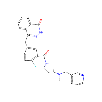 CN(Cc1cccnc1)C1CCN(C(=O)c2cc(Cc3n[nH]c(=O)c4ccccc34)ccc2F)C1